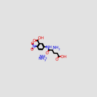 N.N.N[C@H](CCC(=O)O)C(=O)Nc1ccc([N+](=O)[O-])c(C(=O)O)c1